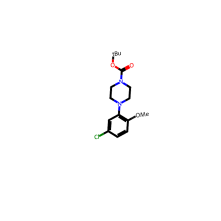 COc1ccc(Cl)cc1N1CCN(C(=O)OC(C)(C)C)CC1